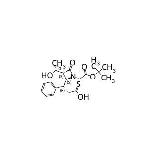 C[C@@H](O)[C@H]1C(=O)N(CC(=O)OC(C)(C)C)[C@H]1[C@H](CC(O)=S)c1ccccc1